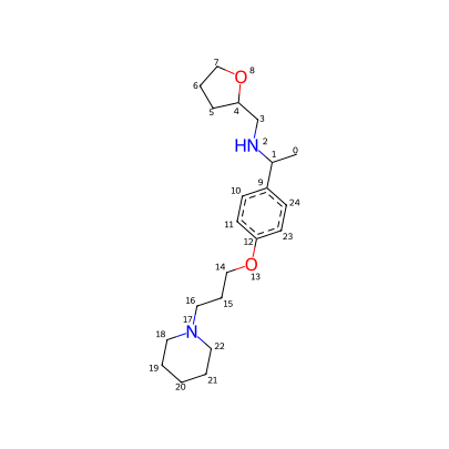 CC(NCC1CCCO1)c1ccc(OCCCN2CCCCC2)cc1